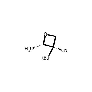 C[C@@H]1OC[C@@]1(C#N)C(C)(C)C